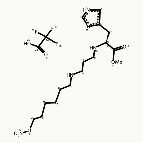 COC(=O)[C@H](Cc1c[nH]cn1)NCCCNCCCCCCO[N+](=O)[O-].O=C(O)C(F)(F)F